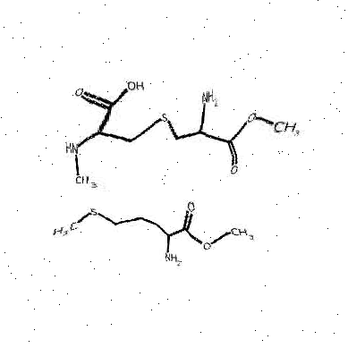 CNC(CSCC(N)C(=O)OC)C(=O)O.COC(=O)C(N)CCSC